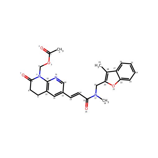 CC(=O)OCN1C(=O)CCc2cc(/C=C/C(=O)N(C)Cc3oc4ccccc4c3C)cnc21